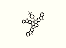 CC(C)(C)c1ccc(N2B3c4cc5sc6ccccc6c5cc4-n4c5cc6c(cc5c5ccc(c3c54)-c3cc4sc5ccccc5c4cc32)oc2ccccc26)cc1